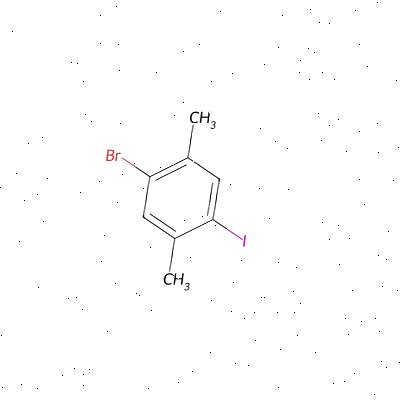 Cc1cc(I)c(C)cc1Br